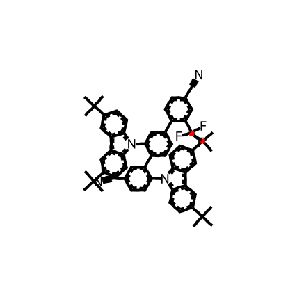 CC(C)(C)c1ccc2c(c1)c1cc(C(C)(C)C)ccc1n2-c1ccc(C#N)cc1-c1ccc(-c2ccc(C#N)cc2C(F)(F)F)cc1-n1c2ccc(C(C)(C)C)cc2c2cc(C(C)(C)C)ccc21